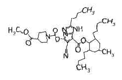 CCCCc1nn2c(OC(=O)N3CCC(C(=O)OCC)CC3)c(C#N)c(C(=O)OC3C(CCCC)CC(C)CC3CCCC)c2[nH]1